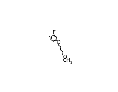 COCCCCCOc1cc[c]c(F)c1